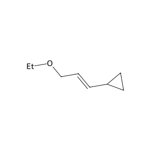 CCOCC=CC1CC1